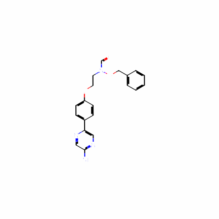 Nc1cnc(-c2ccc(OCCN(C=O)OCc3ccccc3)cc2)cn1